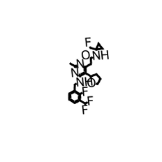 Cc1nc(CC(=O)NC2(CF)CC2)c(C2CCCO2)c(NCc2cccc(C(F)F)c2F)n1